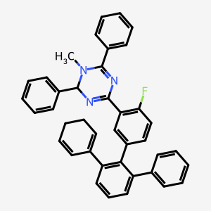 CN1C(c2ccccc2)=NC(c2cc(-c3c(C4=CCCC=C4)cccc3-c3ccccc3)ccc2F)=NC1c1ccccc1